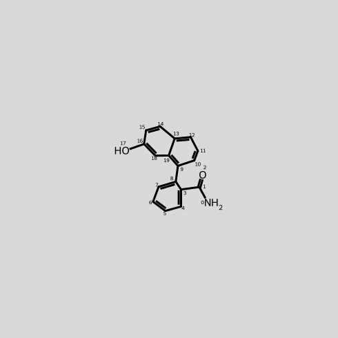 NC(=O)c1ccccc1-c1cccc2ccc(O)cc12